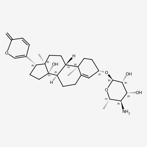 C=C1C=CC([C@H]2CC[C@]3(O)[C@@H]4CCC5=C[C@@H](O[C@@H]6O[C@@H](C)[C@H](N)[C@@H](O)[C@H]6O)CC[C@]5(C)[C@H]4CC[C@]23C)=CO1